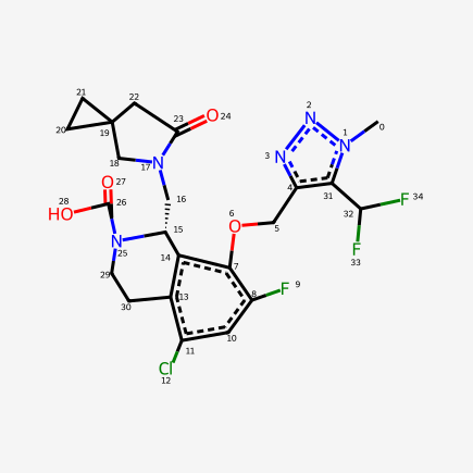 Cn1nnc(COc2c(F)cc(Cl)c3c2[C@@H](CN2CC4(CC4)CC2=O)N(C(=O)O)CC3)c1C(F)F